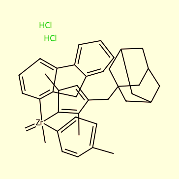 Cl.Cl.[CH2]=[Zr]([CH3])([C]1=C(C)C(CC23CC4CC(CC(C4)C2)C3)=CC1C)([c]1ccc(C)cc1)[c]1cccc2c1Cc1ccccc1-2